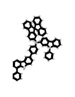 c1ccc(-c2cccc3c2oc2ccc(-c4ccc(N(c5ccc6c(c5)C5(c7ccccc7-c7ccccc75)c5ccccc5-6)c5ccc6c7ccccc7n(-c7ccccc7)c6c5)cc4)cc23)cc1